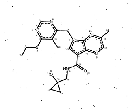 CCSc1ncnc(Cn2cc(C(=O)NCC3(O)CC3)c3ncc(C)nc32)c1C